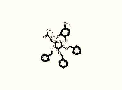 CC(=O)OC[C@H]1O[C@H](Oc2ccc(C)cc2C)[C@@H](OCc2ccccc2)[C@@H](OCc2ccccc2)[C@@H]1OCc1ccccc1